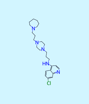 Clc1ccc2c(NCCCN3CCN(CCCN4CCCCCC4)CC3)ccnc2c1